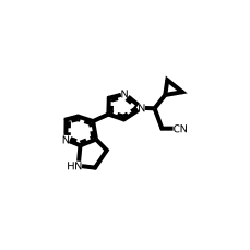 N#CCC(C1CC1)n1cc(-c2ccnc3c2CCN3)cn1